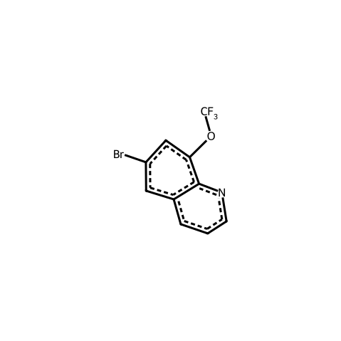 FC(F)(F)Oc1cc(Br)cc2cccnc12